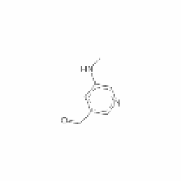 CNc1cncc(C=O)c1